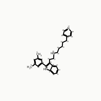 Cc1cc(C)cc(-c2[nH]c3cc[c]cc3c2CCNCCCCCc2ccncc2)c1